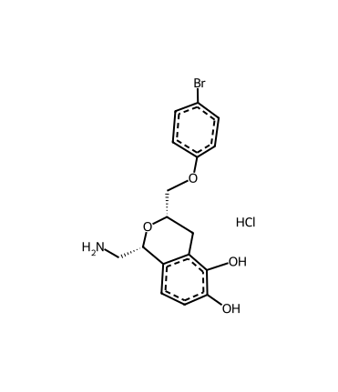 Cl.NC[C@@H]1O[C@H](COc2ccc(Br)cc2)Cc2c1ccc(O)c2O